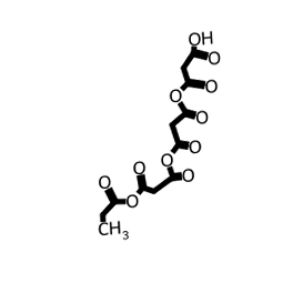 CCC(=O)OC(=O)CC(=O)OC(=O)CC(=O)OC(=O)CC(=O)O